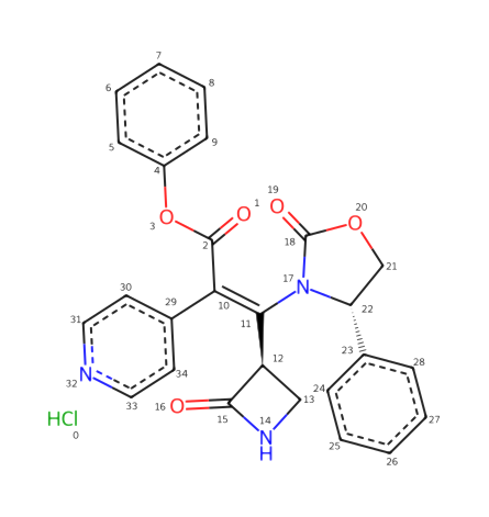 Cl.O=C(Oc1ccccc1)C(=C([C@H]1CNC1=O)N1C(=O)OC[C@@H]1c1ccccc1)c1ccncc1